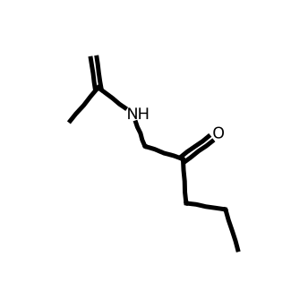 C=C(C)NCC(=O)CCC